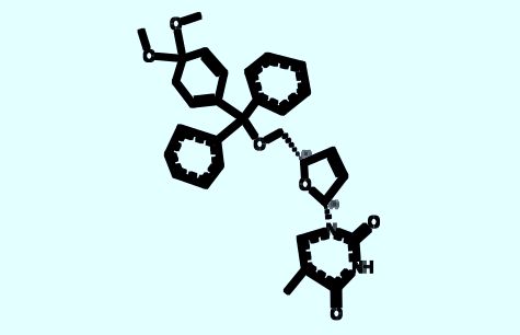 COC1(OC)C=CC(C(OC[C@@H]2C=C[C@H](n3cc(C)c(=O)[nH]c3=O)O2)(c2ccccc2)c2ccccc2)=CC1